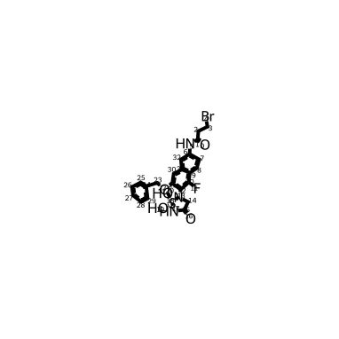 O=C(CCBr)Nc1ccc2c(F)c(N3CC(=O)NS3(O)O)c(OCc3ccccc3)cc2c1